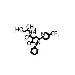 CC(CO)NC(=O)c1cc(-c2ccc(C(F)(F)F)cn2)nn(-c2ccccc2)c1=O